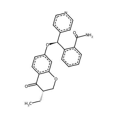 CC[C@H]1COc2cc(O[C@@H](c3ccncc3)c3ccccc3C(N)=O)ccc2C1=O